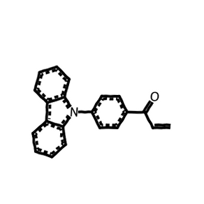 C=CC(=O)c1ccc(-n2c3ccccc3c3ccccc32)cc1